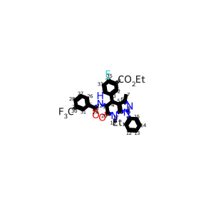 CCOC(=O)c1cc(C2c3c(C)nn(-c4ccccc4)c3N(CC)C(=O)C2NC(=O)c2cccc(C(F)(F)F)c2)ccc1F